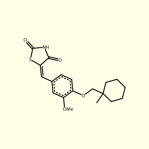 COc1cc(C=C2SC(=O)NC2=O)ccc1OCC1(C)CCCCC1